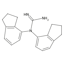 N=C(N)N(c1cccc2c1CCC2)c1cccc2c1CCC2